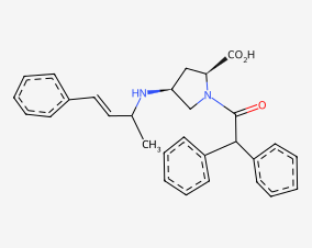 CC(/C=C/c1ccccc1)N[C@H]1C[C@@H](C(=O)O)N(C(=O)C(c2ccccc2)c2ccccc2)C1